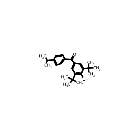 CC(C)c1ccc(C(=O)c2cc(C(C)(C)C)c(O)c(C(C)(C)C)c2)cc1